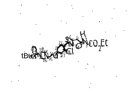 CCOC(=O)CNC(=O)Cc1csc(-c2ccc(OCCN3CCN(C(=O)OC(C)(C)C)CC3)cc2Cl)n1